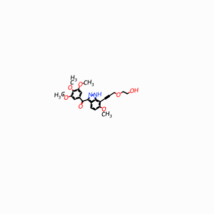 COc1cc(C(=O)c2n[nH]c3c(C#CCOCCO)c(OC)ccc23)cc(OC)c1OC